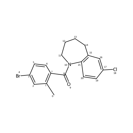 Cc1cc(Br)ccc1C(=O)N1CCCCc2cc(Cl)ccc21